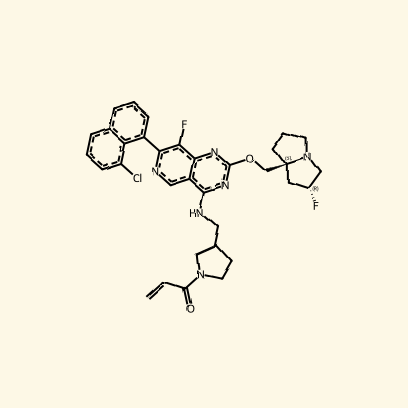 C=CC(=O)N1CCC(CNc2nc(OC[C@@]34CCCN3C[C@H](F)C4)nc3c(F)c(-c4cccc5cccc(Cl)c45)ncc23)C1